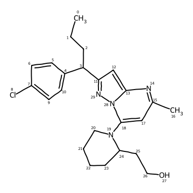 CCCC(c1ccc(Cl)cc1)c1cc2nc(C)cc(N3CCCCC3CCO)n2n1